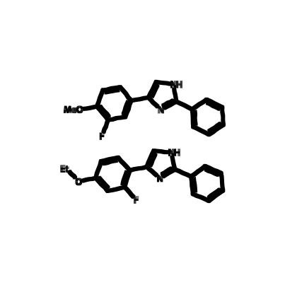 CCOc1ccc(-c2c[nH]c(-c3ccccc3)n2)c(F)c1.COc1ccc(-c2c[nH]c(-c3ccccc3)n2)cc1F